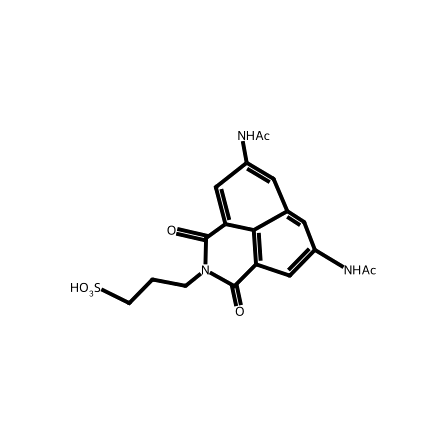 CC(=O)Nc1cc2c3c(cc(NC(C)=O)cc3c1)C(=O)N(CCCS(=O)(=O)O)C2=O